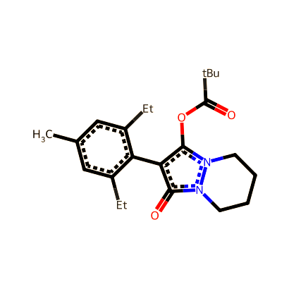 CCc1cc(C)cc(CC)c1-c1c(OC(=O)C(C)(C)C)n2n(c1=O)CCCC2